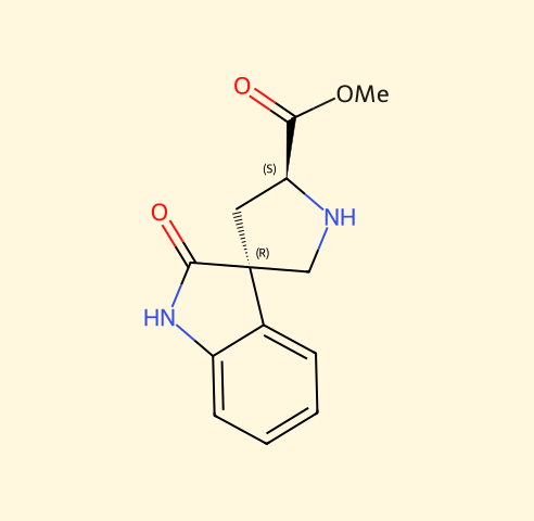 COC(=O)[C@@H]1C[C@@]2(CN1)C(=O)Nc1ccccc12